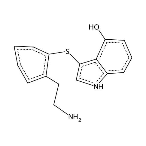 NCCc1ccccc1Sc1c[nH]c2cccc(O)c12